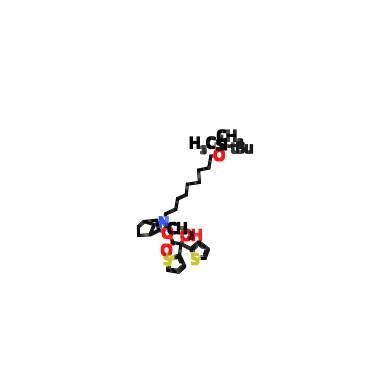 CN(CCCCCCCCCO[Si](C)(C)C(C)(C)C)C1C2CCC1C(OC(=O)C(O)(c1cccs1)c1cccs1)C2